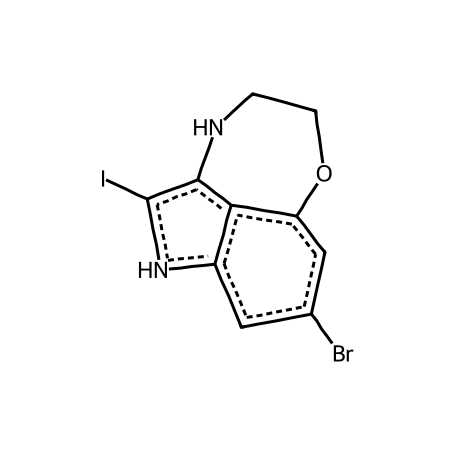 Brc1cc2c3c(c(I)[nH]c3c1)NCCO2